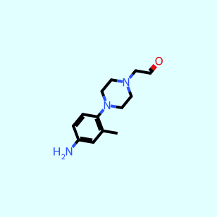 Cc1cc(N)ccc1N1CCN(CC=O)CC1